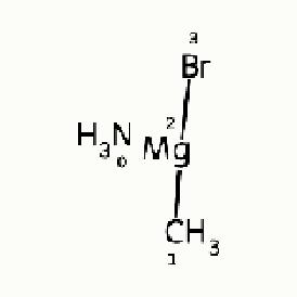 N.[CH3][Mg][Br]